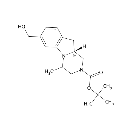 CC1CN(C(=O)OC(C)(C)C)C[C@H]2Cc3ccc(CO)cc3N12